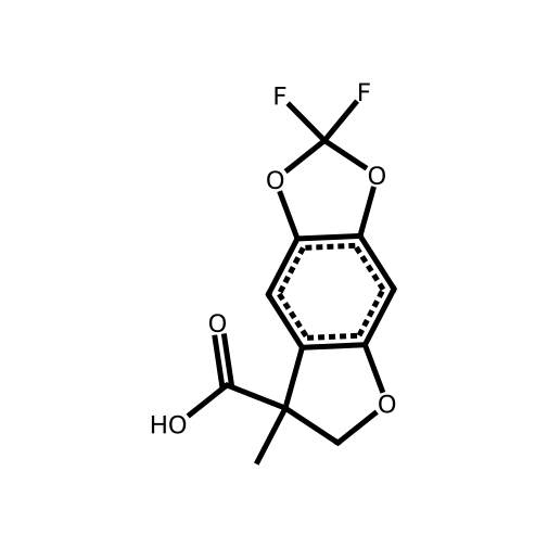 CC1(C(=O)O)COc2cc3c(cc21)OC(F)(F)O3